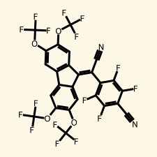 N#CC(=C1c2cc(OC(F)(F)F)c(OC(F)(F)F)cc2-c2cc(OC(F)(F)F)c(OC(F)(F)F)cc21)c1c(F)c(F)c(C#N)c(F)c1F